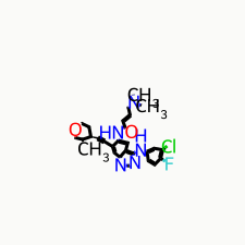 C[C@H]1COCC[C@H]1C#Cc1cc2ncnc(Nc3ccc(F)c(Cl)c3)c2cc1NC(=O)/C=C/CN(C)C